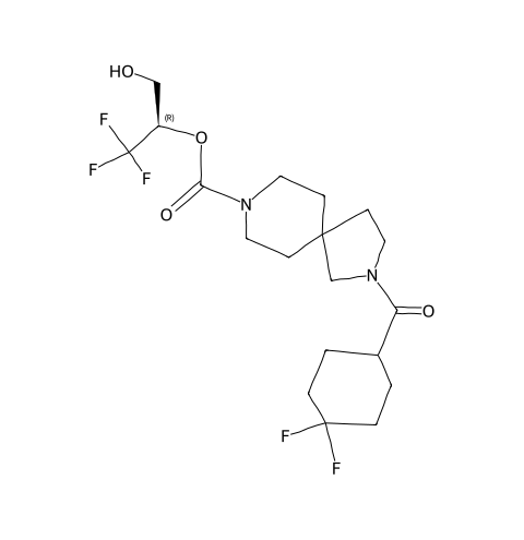 O=C(O[C@H](CO)C(F)(F)F)N1CCC2(CC1)CCN(C(=O)C1CCC(F)(F)CC1)C2